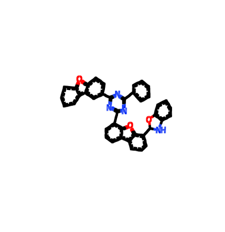 c1ccc(-c2nc(-c3ccc4oc5ccccc5c4c3)nc(-c3cccc4c3oc3c(C5Nc6ccccc6O5)cccc34)n2)cc1